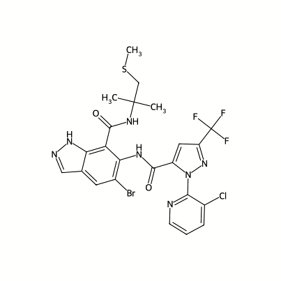 CSCC(C)(C)NC(=O)c1c(NC(=O)c2cc(C(F)(F)F)nn2-c2ncccc2Cl)c(Br)cc2cn[nH]c12